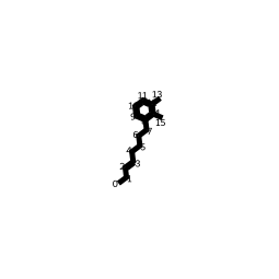 CCC=CCCCCc1cccc(C)c1C